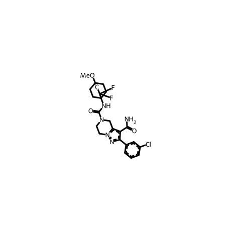 COC12CCC(NC(=O)N3CCn4nc(-c5cccc(Cl)c5)c(C(N)=O)c4C3)(CC1)C(F)(F)C2